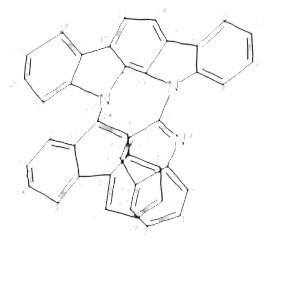 c1ccc2nc(-n3c4ccccc4c4ccc5c6ccccc6n(-c6cc7ccccc7c7ccccc67)c5c43)ccc2c1